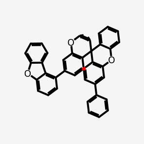 c1ccc(-c2ccc3c(c2)Oc2ccccc2C32c3ccccc3Oc3cc(-c4cccc5oc6ccccc6c45)ccc32)cc1